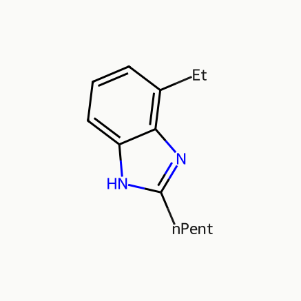 CCCCCc1nc2c(CC)cccc2[nH]1